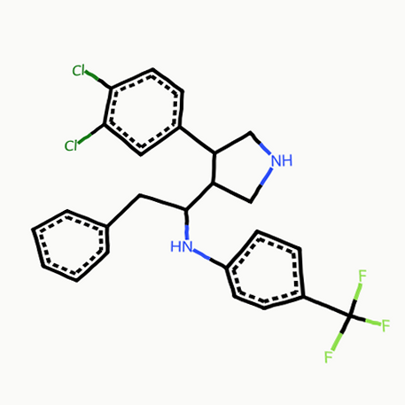 FC(F)(F)c1ccc(NC(Cc2ccccc2)C2CNCC2c2ccc(Cl)c(Cl)c2)cc1